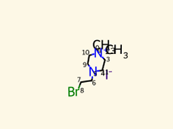 C[N+]1(C)CCN(CCBr)CC1.[I-]